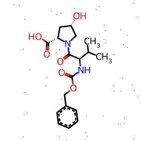 CC(C)C(NC(=O)OCc1ccccc1)C(=O)N1C[C@@H](O)C[C@H]1C(=O)O